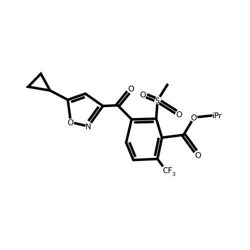 CC(C)OC(=O)c1c(C(F)(F)F)ccc(C(=O)c2cc(C3CC3)on2)c1S(C)(=O)=O